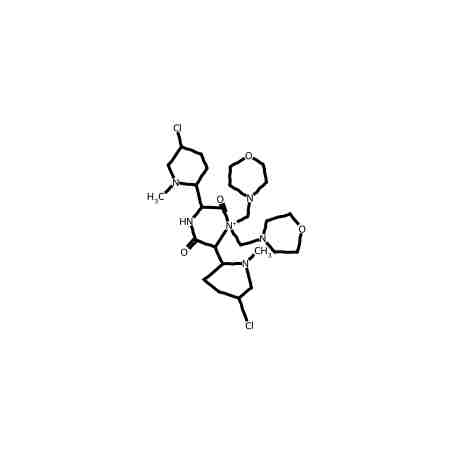 CN1CC(Cl)CCC1C1NC(=O)C(C2CCC(Cl)CN2C)[N+](CN2CCOCC2)(CN2CCOCC2)C1=O